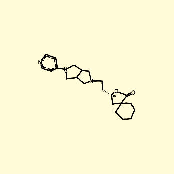 O=C1O[C@@H](CCN2CC3CN(c4ccncc4)CC3C2)CC12CCCCC2